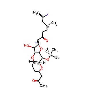 C=C(I)C[C@H](C)CCC(=O)/C=C1\OC2C(O[C@H]3CCC(CC(=O)OC)O[C@@H]3C2O[Si](C)(C)C(C)(C)C)C1O